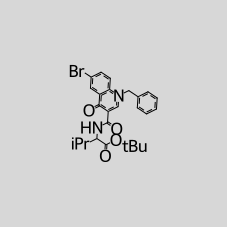 CC(C)C(NC(=O)c1cn(Cc2ccccc2)c2ccc(Br)cc2c1=O)C(=O)OC(C)(C)C